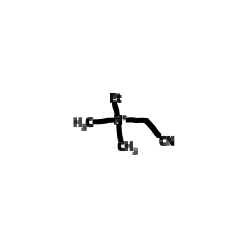 CC[N+](C)(C)CC#N